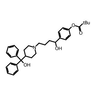 CC(C)(C)C(=O)Oc1ccc(C(O)CCCN2CCC(C(O)(c3ccccc3)c3ccccc3)CC2)cc1